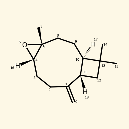 C=C1CC[C@@H]2O[C@]2(C)CC[C@@H]2[C@@H]1CC2(C)C